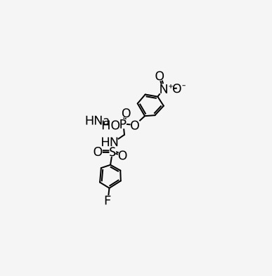 O=[N+]([O-])c1ccc(OP(=O)(O)CNS(=O)(=O)c2ccc(F)cc2)cc1.[NaH]